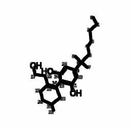 CCCCCCC(C)(C)c1cc(O)c(C2=C(CCO)CCC(C)C2)c(O)c1